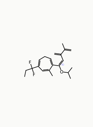 C=C(C)C(=C)/C=C(/OC(C)C)C1=CCC=C(C(F)(F)CC)C=C1C